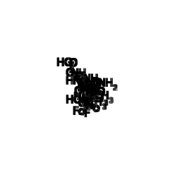 CC(=O)N[C@H](CC(N)=O)C(=O)N[C@@H](CC(N)=O)C(=O)N[C@@H](CCN(C(=O)CO)[C@@H](c1cc(-c2cc(F)ccc2F)cn1Cc1ccccc1)C(C)(C)C)C(=O)NCCNC(=O)CNC(=O)CCC(=O)O